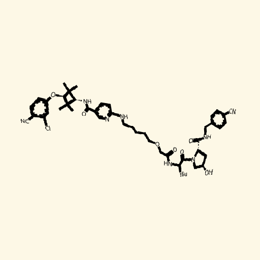 CC(C)(C)C(NC(=O)COCCCCCNc1ccc(C(=O)N[C@H]2C(C)(C)[C@H](Oc3ccc(C#N)c(Cl)c3)C2(C)C)cn1)C(=O)N1C[C@H](O)C[C@H]1C(=O)NCc1ccc(C#N)cc1